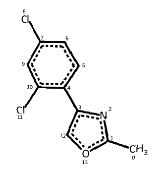 Cc1nc(-c2ccc(Cl)cc2Cl)co1